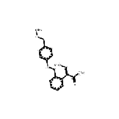 CCCCCCNCc1ccc(OCc2ccccc2/C(=C\OC)C(=O)OC)cc1